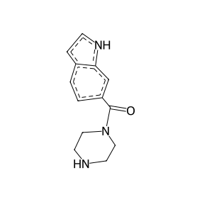 O=C(c1ccc2cc[nH]c2c1)N1CCNCC1